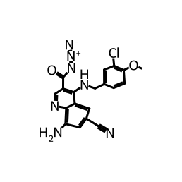 COc1ccc(CNc2c(C(=O)N=[N+]=[N-])cnc3c(N)cc(C#N)cc23)cc1Cl